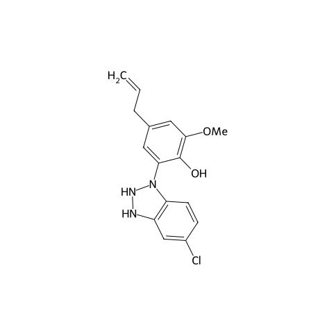 C=CCc1cc(OC)c(O)c(N2NNc3cc(Cl)ccc32)c1